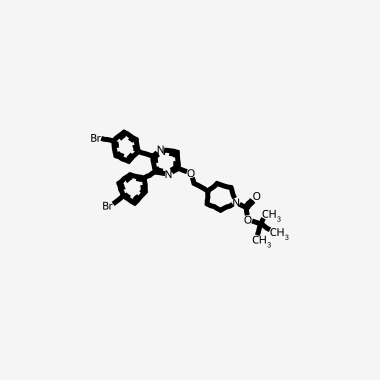 CC(C)(C)OC(=O)N1CCC(COc2cnc(-c3ccc(Br)cc3)c(-c3ccc(Br)cc3)n2)CC1